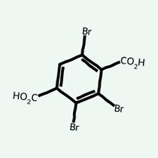 O=C(O)c1cc(Br)c(C(=O)O)c(Br)c1Br